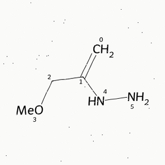 C=C(COC)NN